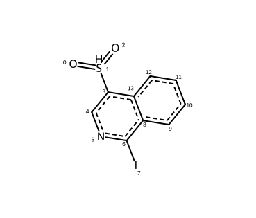 O=[SH](=O)c1cnc(I)c2ccccc12